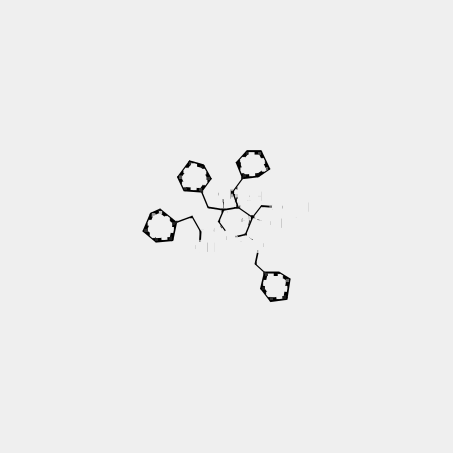 O=C(O)C[C@]1(O)[C@@H](OCc2ccccc2)O[C@H](C(O)Cc2ccccc2)[C@](O)(Cc2ccccc2)[C@@]1(O)Cc1ccccc1